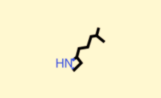 CC(C)CCCC1CCN1